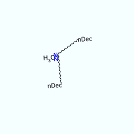 CCCCCCCCCCCCCCCCCCCCCCCc1cc(CCCCCCCCCCCCCCCCCCCCCCC)nc(C)n1